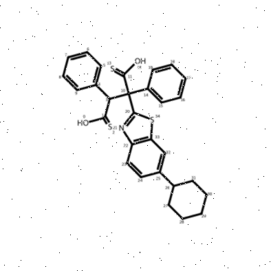 OC(=S)C(c1ccccc1)C(C(O)=S)(c1ccccc1)c1nc2ccc(C3CCCCC3)cc2s1